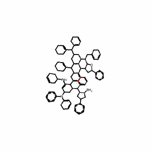 BC1CC(c2ccccc2)CC1C(C1=CC=CCC1)C1CC(N(C2=CC=CCC2)c2ccccc2)C=C(NC2CC=CCC2)C1C1=C(CC)C=C2C(C1)C(C1=CCCCC1)C1CC(C(C3=CC=CCC3)C3=CCCCC3)CC3C(CC4=CC=CCC4)C4OC(c5ccccc5)CC4C2C31